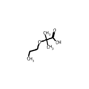 CCCOC(C)(C)C(=O)O